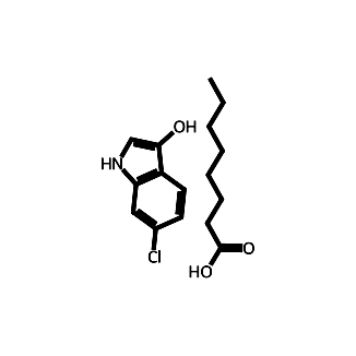 CCCCCCCC(=O)O.Oc1c[nH]c2cc(Cl)ccc12